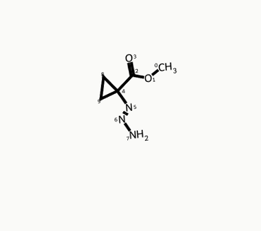 COC(=O)C1(N=NN)CC1